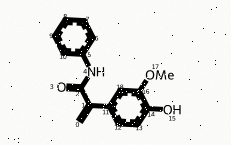 C=C(C(=O)Nc1ccccc1)c1ccc(O)c(OC)c1